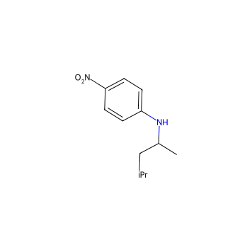 CC(C)CC(C)Nc1ccc([N+](=O)[O-])cc1